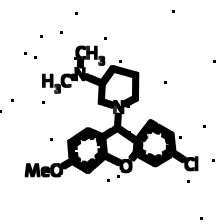 COc1ccc2c(c1)Oc1cc(Cl)ccc1C2N1CCCC(N(C)C)C1